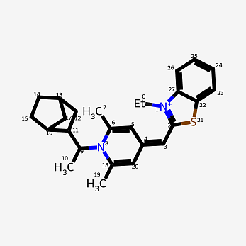 CC[n+]1c(C=C2C=C(C)N(C(C)C3CC4CCC3C4)C(C)=C2)sc2ccccc21